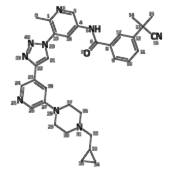 Cc1ncc(NC(=O)c2cccc(C(C)(C)C#N)c2)cc1-n1cc(-c2cncc(N3CCN(CC4CC4)CC3)c2)nn1